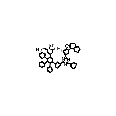 C/C=C\C=C(/CC(C)OCC)c1cc(-c2cccc(-c3nc(-c4ccccc4)nc(-c4ccc5oc6c(c5c4)-c4ccccc4CC6)n3)c2)c(-c2ccccc2)c(-c2ccccc2)c1-c1ccccc1